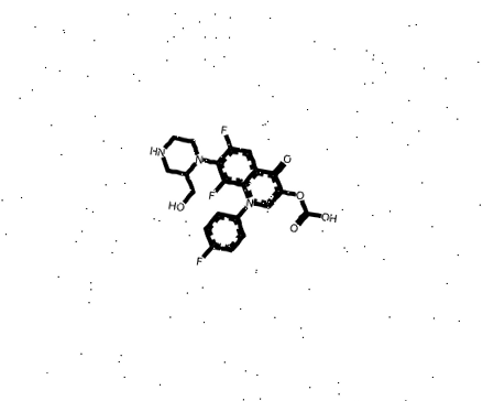 O=C(O)Oc1cn(-c2ccc(F)cc2)c2c(F)c(N3CCNCC3CO)c(F)cc2c1=O